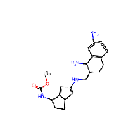 CC(C)(C)OC(=O)NC1CCC2C=C(NCC3CCc4ccc(N)cc4C3N)C=C21